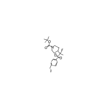 CC(C)(C)OC(=O)N1CCC(C(C)(F)S(=O)(=O)c2ccc(CF)cc2)CC1